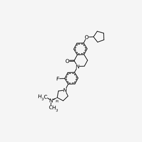 CN(C)[C@@H]1CCN(c2ccc(N3CCc4cc(OC5CCCC5)ccc4C3=O)cc2F)C1